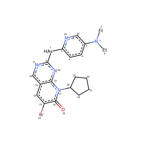 CCN(CC)c1ccc([AsH]c2ncc3cc(Br)c(=O)n(C4CCCC4)c3n2)nc1